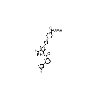 COC(=O)N1CCC(N2CC(n3cc(NC(=O)c4cccc(-c5cn[nH]c5)n4)c(C(F)F)n3)C2)CC1